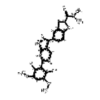 COc1cc(OC)c(F)c(-c2ncc3c(-c4ccc5c(c4)CC(C(=O)N(C)C)O5)n[nH]c3n2)c1F